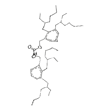 CCCCC(CC)Cc1cccc(CO[PH](=O)OCc2cccc(CC(CC)CCCC)c2CC(CC)CCCC)c1CC(CC)CCCC